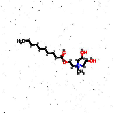 C=CCCCCCCCC(=O)OCC[N+](C)(CCO)CCO